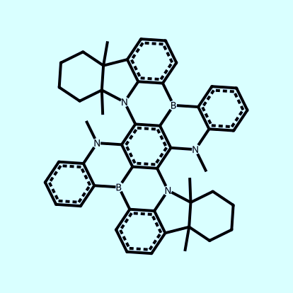 CN1c2ccccc2B2c3cccc4c3N(c3c2c1c1c2c3N(C)c3ccccc3B2c2cccc3c2N1C1(C)CCCCC31C)C1(C)CCCCC41C